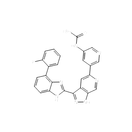 CCCCC(=O)Nc1cncc(-c2cc3c(-c4nc5c(-c6ccccc6F)cccc5[nH]4)n[nH]c3cn2)c1